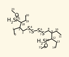 CCC(CSSSSCC(CC)C(CC)[SiH2]OC)C(CC)[SiH2]OC